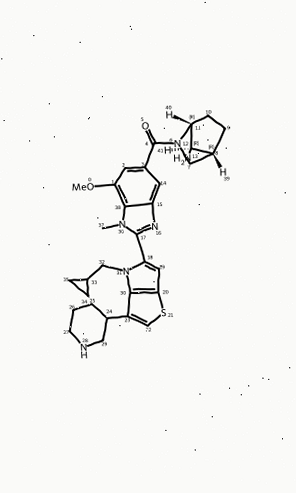 COc1cc(C(=O)N2C[C@H]3CC[C@@H]2[C@@H]3N)cc2nc(-c3cc4scc(C5CCCNC5)c4n3CC3CC3)n(C)c12